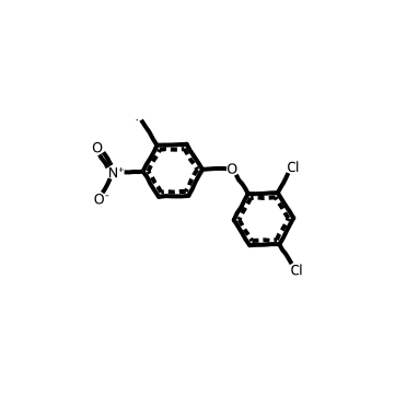 [CH2]c1cc(Oc2ccc(Cl)cc2Cl)ccc1[N+](=O)[O-]